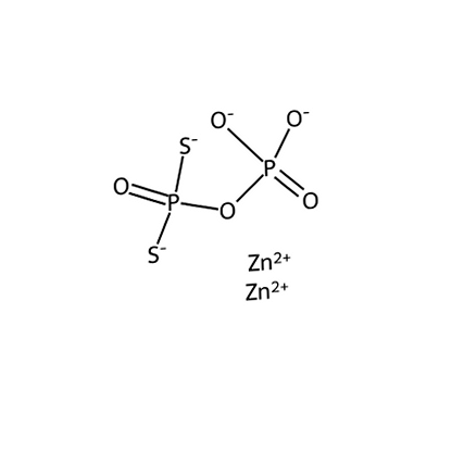 O=P([O-])([O-])OP(=O)([S-])[S-].[Zn+2].[Zn+2]